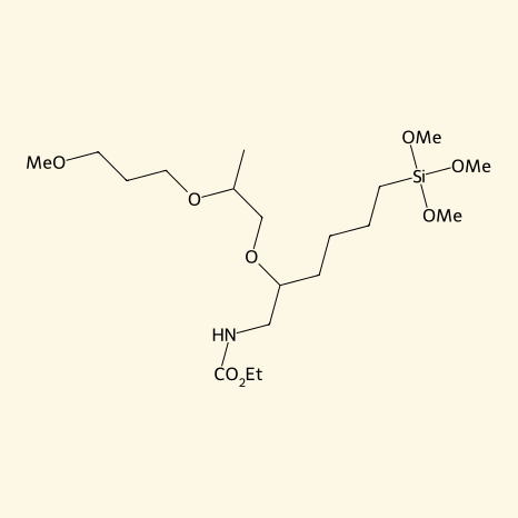 CCOC(=O)NCC(CCCC[Si](OC)(OC)OC)OCC(C)OCCCOC